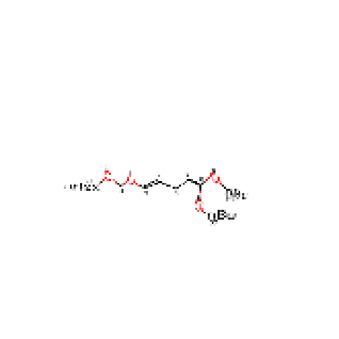 CCCCCCOCOC=CCCC(OCCCC)OCCCC